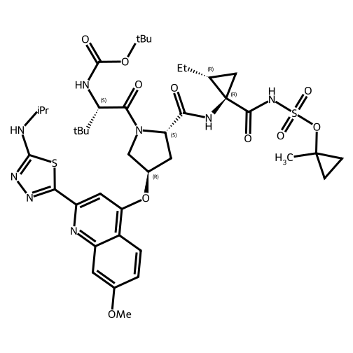 CC[C@@H]1C[C@]1(NC(=O)[C@@H]1C[C@@H](Oc2cc(-c3nnc(NC(C)C)s3)nc3cc(OC)ccc23)CN1C(=O)[C@@H](NC(=O)OC(C)(C)C)C(C)(C)C)C(=O)NS(=O)(=O)OC1(C)CC1